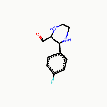 O=CC1NCCNC1c1ccc(F)cc1